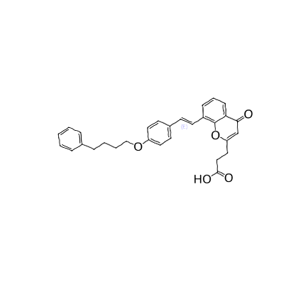 O=C(O)CCc1cc(=O)c2cccc(/C=C/c3ccc(OCCCCc4ccccc4)cc3)c2o1